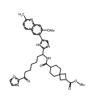 COc1cc2nc(C)ccc2cc1-c1cnc(C(CCCCCC(=O)c2ncco2)NC(=O)C2CCC3(CC2)CN(C(=O)OC(C)(C)C)C3)[nH]1